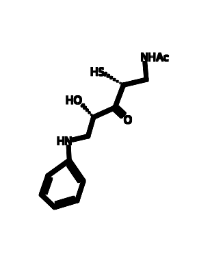 CC(=O)NC[C@@H](S)C(=O)[C@@H](O)CNc1ccccc1